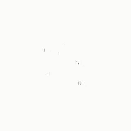 CC1CC(C)(C)CC(N)C1CCN